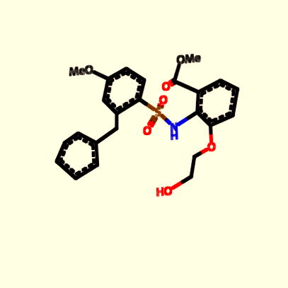 COC(=O)c1cccc(OCCO)c1NS(=O)(=O)c1ccc(OC)cc1Cc1ccccc1